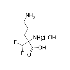 Cl.Cl.NCCCC(N)(C(=O)O)C(F)F